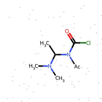 CC(=O)N(C(=O)Cl)C(C)N(C)C